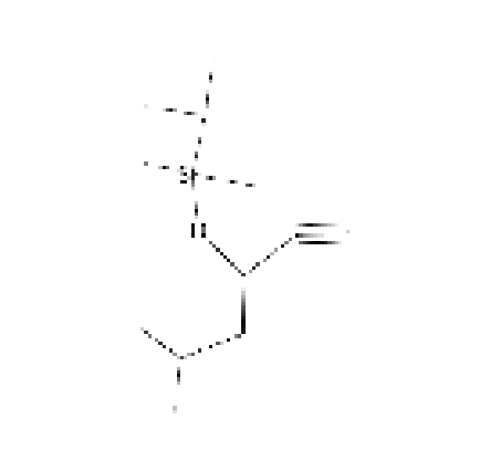 C#CC(CC(C)C)O[Si](C)(C)C(C)(C)C